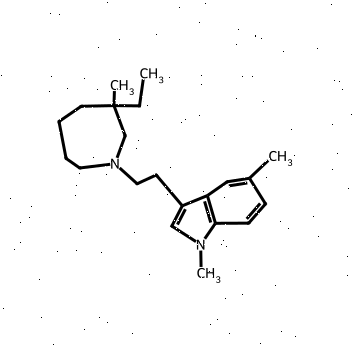 CCC1(C)CCCCN(CCc2cn(C)c3ccc(C)cc23)C1